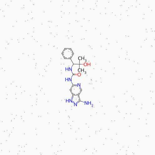 CC(C)(O)C(NC(=O)Nc1cc2[nH]nc(N)c2cn1)c1ccccc1